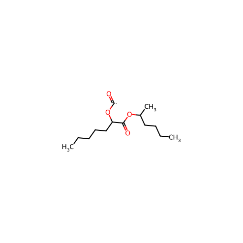 CCCCCC(O[C]=O)C(=O)OC(C)CCCC